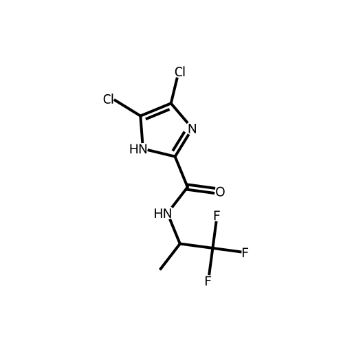 CC(NC(=O)c1nc(Cl)c(Cl)[nH]1)C(F)(F)F